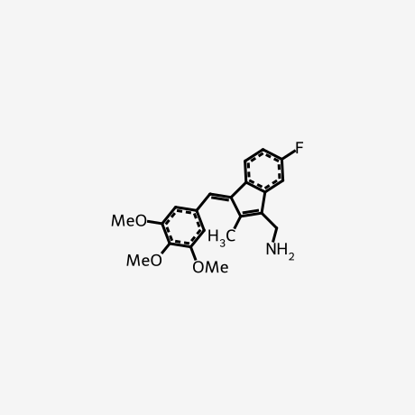 COc1cc(C=C2C(C)=C(CN)c3cc(F)ccc32)cc(OC)c1OC